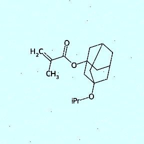 C=C(C)C(=O)OC12CC3CC(C1)CC(OC(C)C)(C3)C2